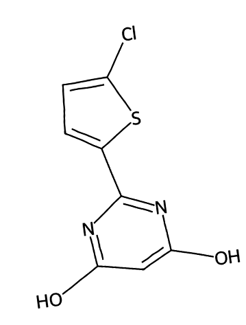 Oc1cc(O)nc(-c2ccc(Cl)s2)n1